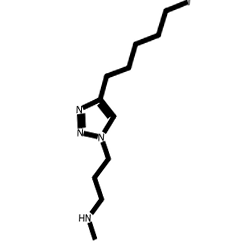 CNCCCn1cc(CCCCCI)nn1